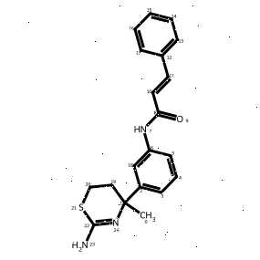 CC1(c2cccc(NC(=O)/C=C/c3ccccc3)c2)CCSC(N)=N1